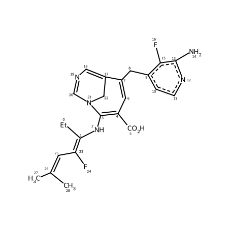 CC/C(NC1=C(C(=O)O)C=C(Cc2ccnc(N)c2F)C2=CN=CN1C2)=C(/F)C=C(C)C